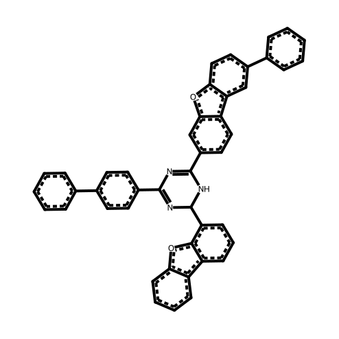 c1ccc(-c2ccc(C3=NC(c4cccc5c4oc4ccccc45)NC(c4ccc5c(c4)oc4ccc(-c6ccccc6)cc45)=N3)cc2)cc1